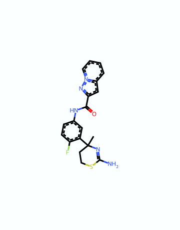 CC1(c2cc(NC(=O)c3cc4ccccn4n3)ccc2F)CCSC(N)=N1